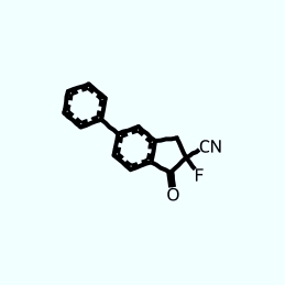 N#CC1(F)Cc2cc(-c3ccccc3)ccc2C1=O